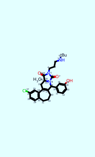 CC(C)(C)NCCCN1C(=O)N2C(c3cccc(O)c3)C3=C(C[C@@]2(C)C1=O)c1cc(Cl)ccc1CCC3